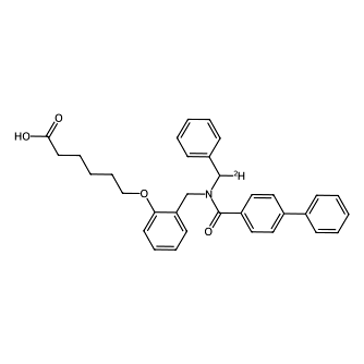 [2H]C(c1ccccc1)N(Cc1ccccc1OCCCCCC(=O)O)C(=O)c1ccc(-c2ccccc2)cc1